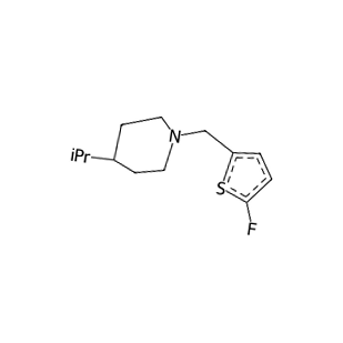 CC(C)C1CCN(Cc2ccc(F)s2)CC1